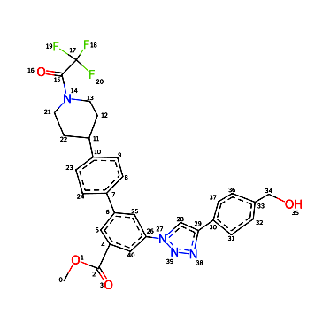 COC(=O)c1cc(-c2ccc(C3CCN(C(=O)C(F)(F)F)CC3)cc2)cc(-n2cc(-c3ccc(CO)cc3)nn2)c1